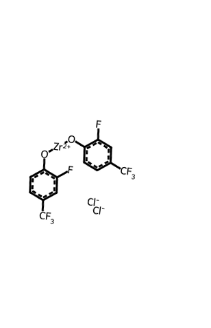 Fc1cc(C(F)(F)F)ccc1[O][Zr+2][O]c1ccc(C(F)(F)F)cc1F.[Cl-].[Cl-]